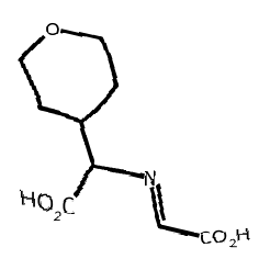 O=C(O)C=NC(C(=O)O)C1CCOCC1